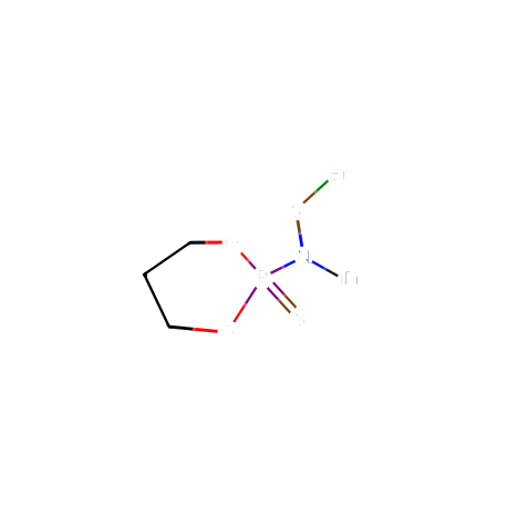 CC(C)N(SBr)P1(=S)OCCCO1